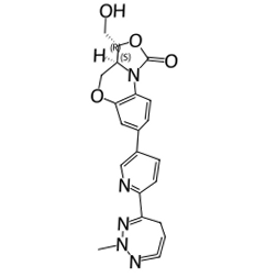 CN1N=C=CCC(c2ccc(-c3ccc4c(c3)OC[C@H]3[C@H](CO)OC(=O)N43)cn2)=N1